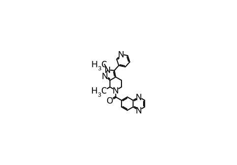 CC1c2nn(C)c(-c3cccnc3)c2CCN1C(=O)c1ccc2nccnc2c1